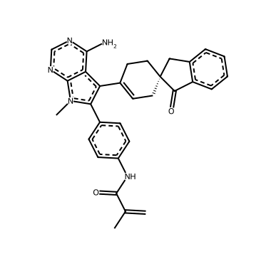 C=C(C)C(=O)Nc1ccc(-c2c(C3=CC[C@]4(CC3)Cc3ccccc3C4=O)c3c(N)ncnc3n2C)cc1